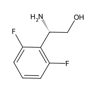 N[C@H](CO)c1c(F)cccc1F